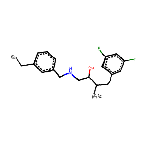 CC(=O)NC(Cc1cc(F)cc(F)c1)C(O)CNCc1cccc(CC(C)(C)C)c1